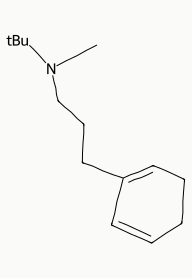 CN(CCCC1=CCCC=C1)C(C)(C)C